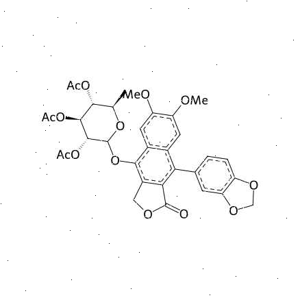 COc1cc2c(OC3O[C@H](C)[C@@H](OC(C)=O)[C@H](OC(C)=O)[C@H]3OC(C)=O)c3c(c(-c4ccc5c(c4)OCO5)c2cc1OC)C(=O)OC3